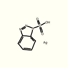 O=S(=O)(O)n1nnc2ccccc21.[Ag]